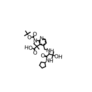 CC(C)(C)OC(=O)N1CC(C)(C(=O)O)c2c(CNC(C(=O)NC3CCCC3)C(C)(C)O)ccnc21